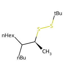 CCCCCCC(CCCC)[C@H](C)SSC(C)(C)C